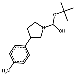 CC(C)(C)OC(O)N1CCC(c2ccc(N)cc2)C1